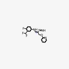 N=N/C(=C\Nc1ccc(F)c(C(F)F)c1)COc1ccccn1